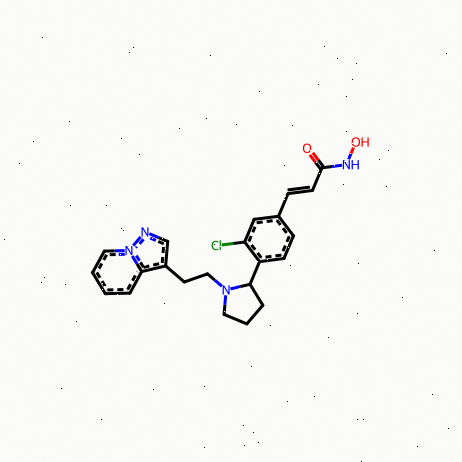 O=C(C=Cc1ccc(C2CCCN2CCc2cnn3ccccc23)c(Cl)c1)NO